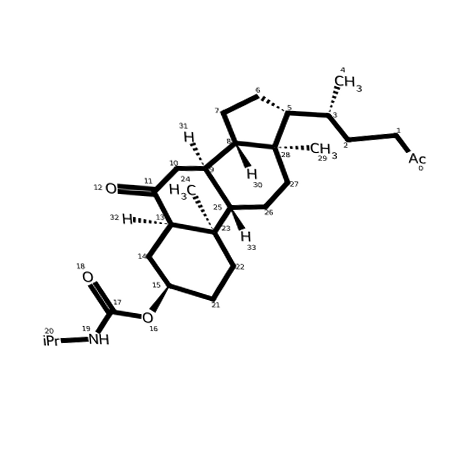 CC(=O)CC[C@@H](C)[C@H]1CC[C@H]2[C@@H]3CC(=O)[C@@H]4C[C@H](OC(=O)NC(C)C)CC[C@]4(C)[C@H]3CC[C@]12C